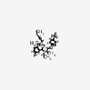 CCC#C/C=N\N(C)c1ccc(F)cc1C(=O)N(CC)C(C)COc1ccc(C(F)(F)F)cn1